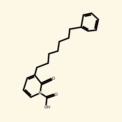 O=C(O)n1cccc(CCCCCCCc2ccccc2)c1=O